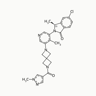 Cc1c(N2CC3(CN(C(=O)c4cnn(C)c4)C3)C2)cncc1N1C(=O)c2ccc(Cl)cc2[C@@H]1C